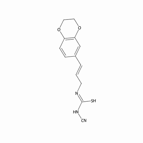 N#CNC(S)=NCC=Cc1ccc2c(c1)OCCO2